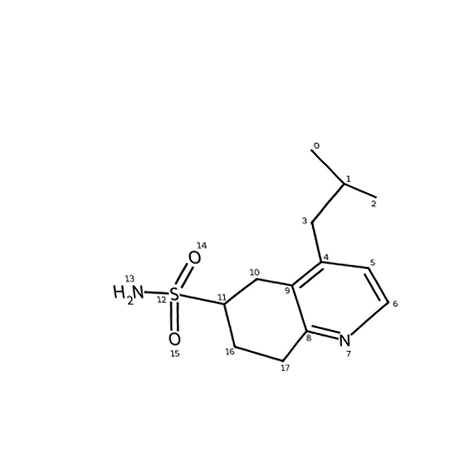 CC(C)Cc1ccnc2c1CC(S(N)(=O)=O)CC2